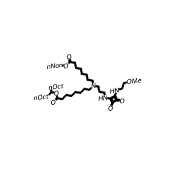 CCCCCCCCCOC(=O)CCCCCCCN(CCCCCCCC(=O)OC(CCCCCCCC)CCCCCCCC)CCCNc1c(NCCOC)c(=O)c1=O